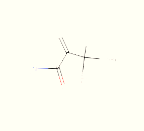 C=C(C(N)=O)C(CC)(CC)CCCCC